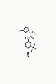 CC(C(=O)Nc1ccc(C#N)c(C(F)(F)F)c1)n1cc(I)cn1